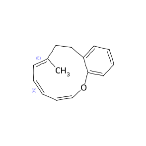 C/C1=C\C=C/C=COc2ccccc2CC1